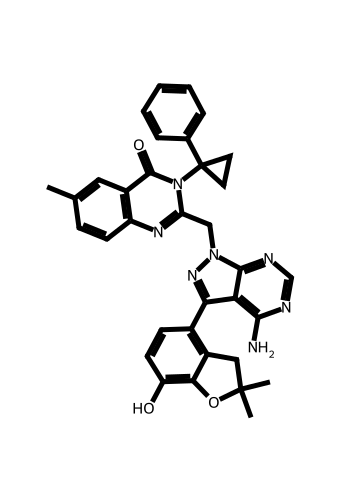 Cc1ccc2nc(Cn3nc(-c4ccc(O)c5c4CC(C)(C)O5)c4c(N)ncnc43)n(C3(c4ccccc4)CC3)c(=O)c2c1